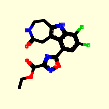 CCOC(=O)c1noc(-c2cc(Cl)c(Cl)c3[nH]c4c(c23)CC(=O)NCC4)n1